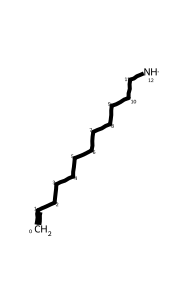 C=CCCCCCCCCCC[NH]